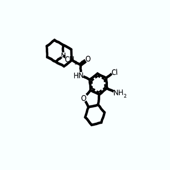 CN1C2CCCC1CC(C(=O)Nc1cc(Cl)c(N)c3c1OC1CCCCC31)C2